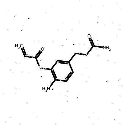 C=CC(=O)Nc1cc(CCC(N)=O)ccc1N